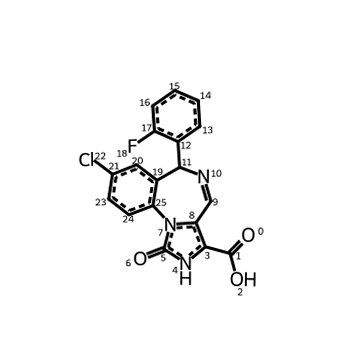 O=C(O)c1[nH]c(=O)n2c1C=NC(c1ccccc1F)c1cc(Cl)ccc1-2